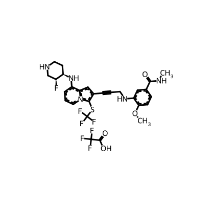 CNC(=O)c1ccc(OC)c(NCC#Cc2cc3c(N[C@@H]4CCNC[C@@H]4F)cccn3c2SC(F)(F)F)c1.O=C(O)C(F)(F)F